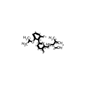 CC(C)Oc1cccc(F)c1-c1ccc(F)c(CN[C@@H](CO)C(C)C)n1